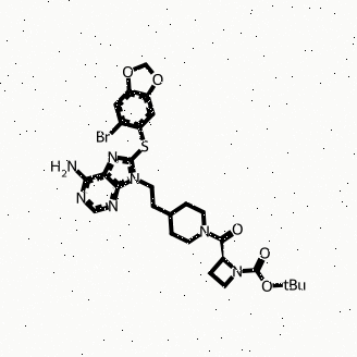 CC(C)(C)OC(=O)N1CC[C@H]1C(=O)N1CCC(CCn2c(Sc3cc4c(cc3Br)OCO4)nc3c(N)ncnc32)CC1